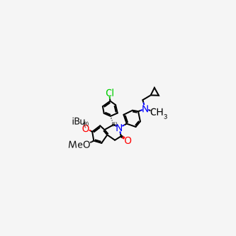 CC[C@@H](C)Oc1cc2c(cc1OC)CC(=O)N(c1ccc(N(C)CC3CC3)cc1)[C@H]2c1ccc(Cl)cc1